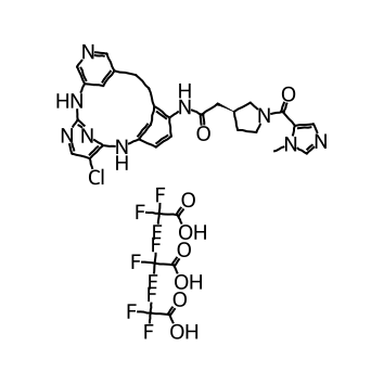 Cn1cncc1C(=O)N1CC[C@@H](CC(=O)Nc2ccc3cc2CCc2cncc(c2)Nc2ncc(Cl)c(n2)N3)C1.O=C(O)C(F)(F)F.O=C(O)C(F)(F)F.O=C(O)C(F)(F)F